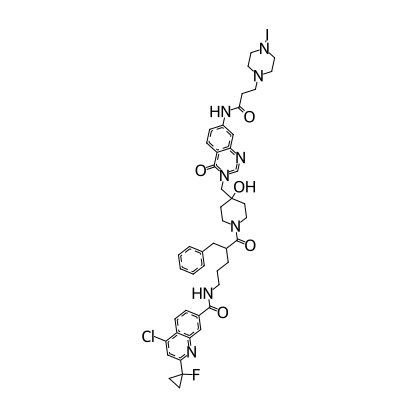 O=C(CCN1CCN(I)CC1)Nc1ccc2c(=O)n(CC3(O)CCN(C(=O)C(CCCNC(=O)c4ccc5c(Cl)cc(C6(F)CC6)nc5c4)Cc4ccccc4)CC3)cnc2c1